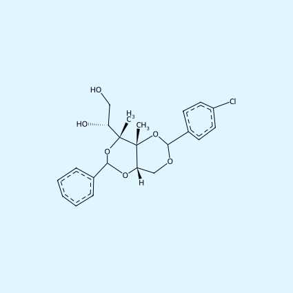 C[C@]1([C@H](O)CO)OC(c2ccccc2)O[C@H]2COC(c3ccc(Cl)cc3)O[C@]21C